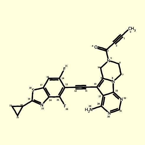 CC#CC(=O)N1CCn2c(c(C#Cc3c(F)cc4sc(C5CC5)nc4c3F)c3c(N)ncnc32)C1